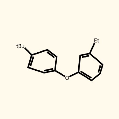 CCc1cccc(Oc2ccc(C(C)(C)C)cc2)c1